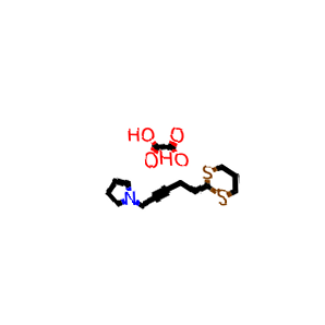 C(#CCN1CCCC1)CCC1SCCCS1.O=C(O)C(=O)O